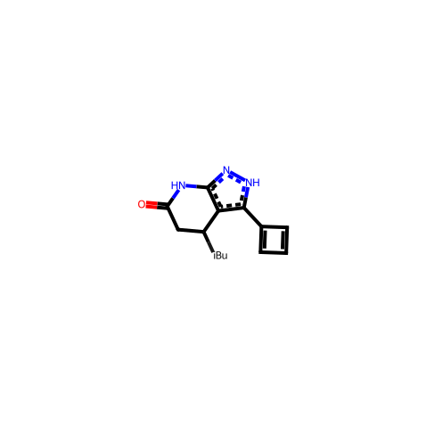 CCC(C)C1CC(=O)Nc2n[nH]c(C3=CC=C3)c21